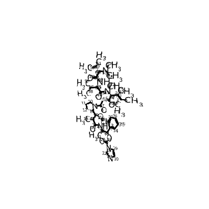 CC[C@H](C)[C@@H]([C@@H](CC(=O)N1CCC[C@H]1[C@H](OC)[C@@H](C)C(=O)N[C@H](C)[C@@H](OC(=O)n1ccnc1)c1ccccc1)OC)N(C)C(=O)[C@@H](NC(=O)[C@H](C(C)C)N(C)C)C(C)C